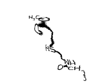 COC(=O)CCC=[SH]CCNC(C)=O